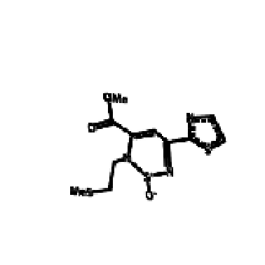 COC(=O)C1=CC(c2nccs2)=N[S+]([O-])N1CCSC